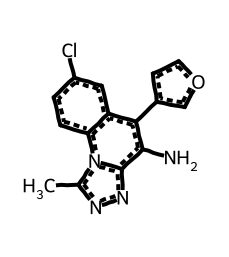 Cc1nnc2c(N)c(-c3ccoc3)c3cc(Cl)ccc3n12